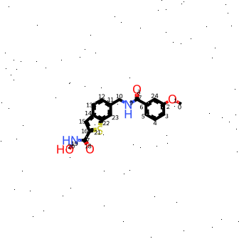 COc1cccc(C(=O)NCc2ccc3cc(C(=O)NO)sc3c2)c1